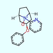 [O-][N+]1(c2ccccn2)[C@@H]2CC[C@H]1C[C@@H](Oc1ccccc1)C2